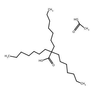 CC(=O)O.CCCCCCCC(CCCCCCC)(CCCCCCC)C(=O)O